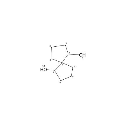 OC1CCCC12CCCC2O